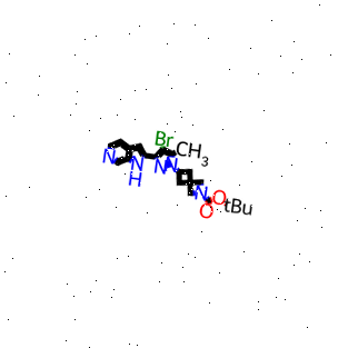 Cc1c(Br)c(-c2cc3ccncc3[nH]2)nn1C1CC2(C1)CN(C(=O)OC(C)(C)C)C2